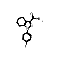 NC(=O)c1nn(-c2ccc(F)cc2)c2c1CCCC2